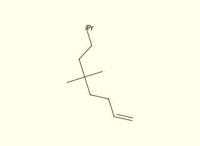 [CH2]C(C)CCC(C)(C)CCC=C